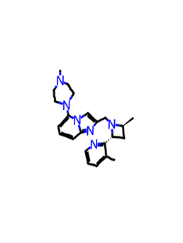 Cc1cccnc1[C@H]1C[C@H](C)N1Cc1cn2c(N3CCN(C)CC3)cccc2n1